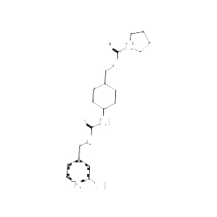 O=C(NC1CCC(COC(=O)N2CCCC2)CC1)OCc1ccnc(Cl)c1